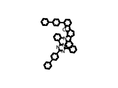 c1ccc(-c2ccc(-c3nc(-c4ccccc4)nc(-c4ccccc4-n4c5ccccc5c5ccc6c7cccc(-c8ccc(-c9ccccc9)cc8)c7oc6c54)n3)cc2)cc1